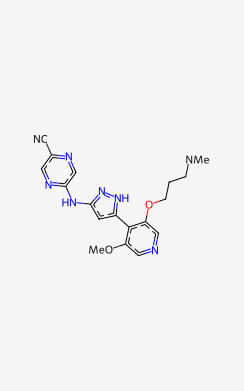 CNCCCOc1cncc(OC)c1-c1cc(Nc2cnc(C#N)cn2)n[nH]1